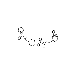 O=C(NCCc1ccc[n+]([O-])c1)OC1CCC(COC(=O)N2CCCC2)CC1